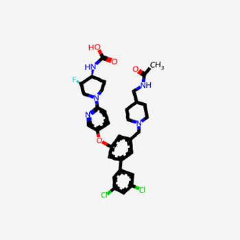 CC(=O)NCC1CCN(Cc2cc(Oc3ccc(N4CC[C@H](NC(=O)O)[C@H](F)C4)nc3)cc(-c3cc(Cl)cc(Cl)c3)c2)CC1